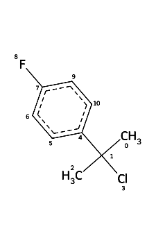 CC(C)(Cl)c1ccc(F)cc1